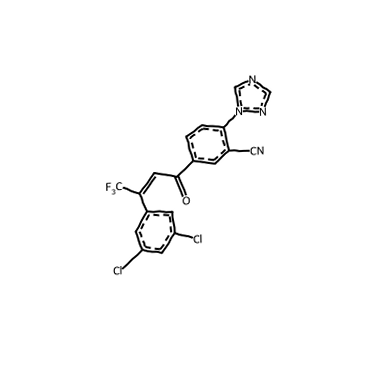 N#Cc1cc(C(=O)/C=C(\c2cc(Cl)cc(Cl)c2)C(F)(F)F)ccc1-n1cncn1